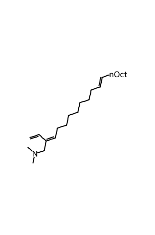 C=C/C(=C\CCCCCCC/C=C/CCCCCCCC)CN(C)C